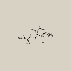 COC(=O)COc1c(F)ccc(C)c1F